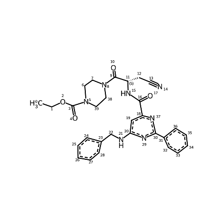 CCOC(=O)N1CCN(C(=O)[C@H](CC#N)NC(=O)c2cc(NCc3ccccc3)nc(-c3ccccc3)n2)CC1